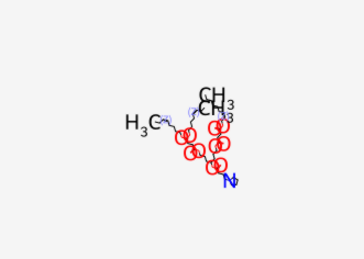 CC/C=C\CCCCOC(CCC(=O)OCCCC(CCCOC(=O)CCC(=O)OC/C=C\CCCCCC)OC(=O)CCCN1CCCC1)OCCCC/C=C\CC